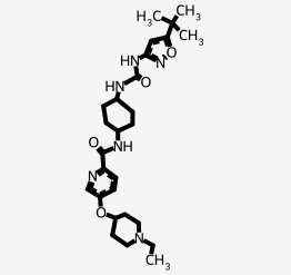 CCN1CCC(Oc2ccc(C(=O)NC3CCC(NC(=O)Nc4cc(C(C)(C)C)on4)CC3)nc2)CC1